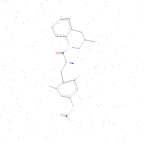 COC(=O)Oc1cc(C)c(C[C@H](N)C(=O)N2CC(C)Cc3ccccc32)c(Br)c1